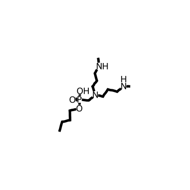 CCCCOP(=O)(O)CN(CCCNC)CCCNC